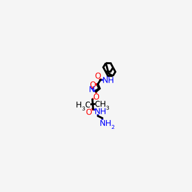 CC(C)(COc1cc(C(=O)NC2C3CC4CC(C3)CC2C4)on1)C(=O)NCCN